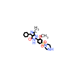 COc1cc(S(=O)(=O)N2CCCNCC2)ccc1-c1nc2c(c(=O)[nH]1)C(C1CCCCC1)N=C2C